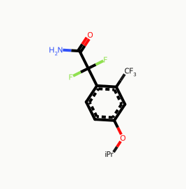 CC(C)Oc1ccc(C(F)(F)C(N)=O)c(C(F)(F)F)c1